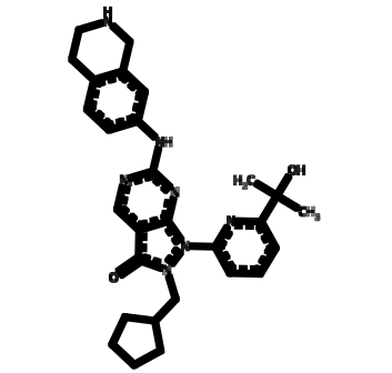 CC(C)(O)c1cccc(-n2c3nc(Nc4ccc5c(c4)CNCC5)ncc3c(=O)n2CC2CCCC2)n1